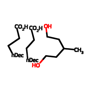 CC(CCO)CCO.CCCCCCCCCCCCC(=O)O.CCCCCCCCCCCCC(=O)O